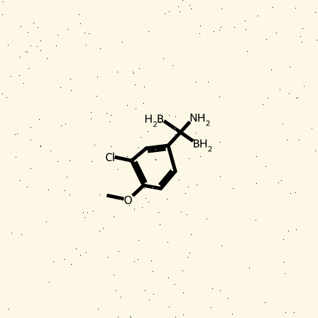 BC(B)(N)c1ccc(OC)c(Cl)c1